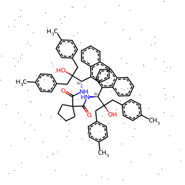 Cc1ccc(CC(O)(Cc2ccc(C)cc2)[C@@H](NC(=O)C2(C(=O)N[C@@H](c3cccc4ccccc34)C(O)(Cc3ccc(C)cc3)Cc3ccc(C)cc3)CCCC2)c2cccc3ccccc23)cc1